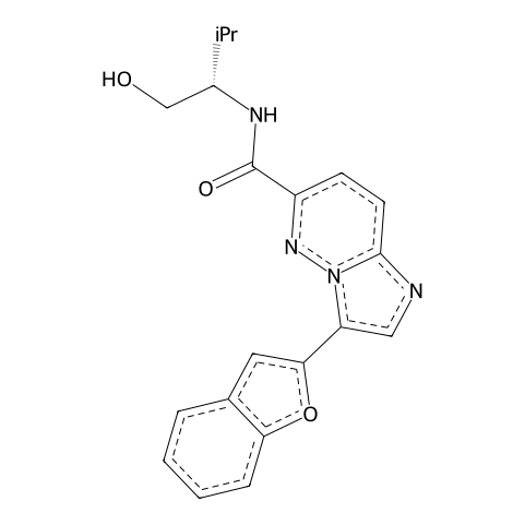 CC(C)[C@@H](CO)NC(=O)c1ccc2ncc(-c3cc4ccccc4o3)n2n1